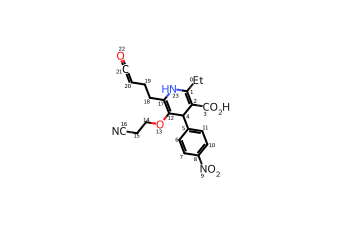 CCC1=C(C(=O)O)C(c2ccc([N+](=O)[O-])cc2)C(OCCC#N)=C(CCC=C=O)N1